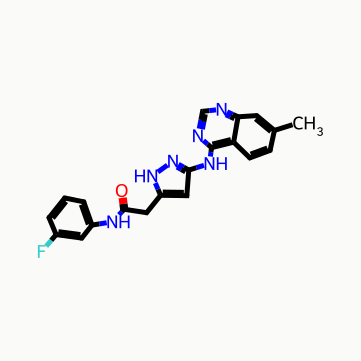 Cc1ccc2c(Nc3cc(CC(=O)Nc4cccc(F)c4)[nH]n3)ncnc2c1